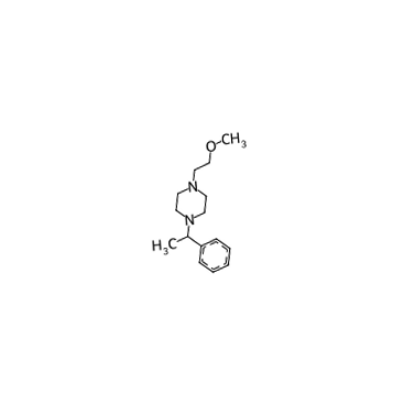 COCCN1CCN(C(C)c2ccccc2)CC1